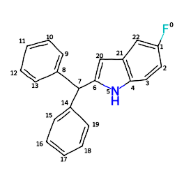 Fc1ccc2[nH]c(C(c3ccccc3)c3ccccc3)cc2c1